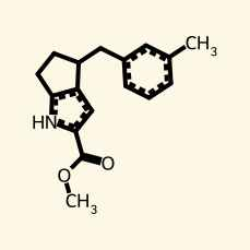 COC(=O)c1cc2c([nH]1)CCC2Cc1cccc(C)c1